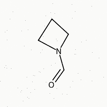 O=CN1CCC1